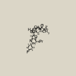 CC(C)c1cc(-c2ccc(F)cc2)nc2cc(C(=O)N3CCN(C(=O)C4(C)CC4)CC3(C)C)oc12